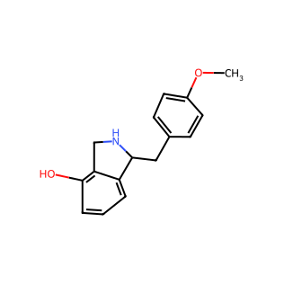 COc1ccc(CC2NCc3c(O)cccc32)cc1